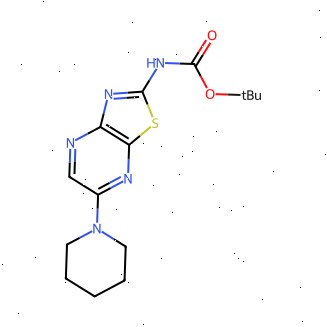 CC(C)(C)OC(=O)Nc1nc2ncc(N3CCCCC3)nc2s1